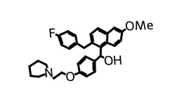 COc1ccc2c(C(O)c3ccc(OCCN4CCCCC4)cc3)c(Cc3ccc(F)cc3)ccc2c1